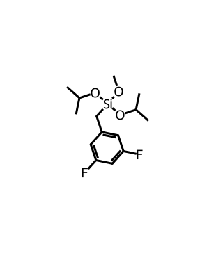 CO[Si](Cc1cc(F)cc(F)c1)(OC(C)C)OC(C)C